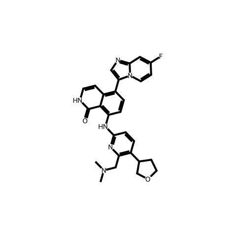 CN(C)Cc1nc(Nc2ccc(-c3cnc4cc(F)ccn34)c3cc[nH]c(=O)c23)ccc1C1CCOC1